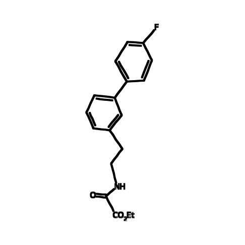 CCOC(=O)C(=O)NCCc1cccc(-c2ccc(F)cc2)c1